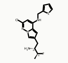 C[C@H](F)[C@H](N)Cc1cc2c(NCc3cccs3)cc(Cl)nn2c1